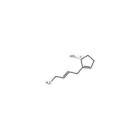 CCC=CCC1=CCC[C@H]1O